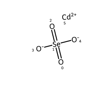 O=[Se](=O)([O-])[O-].[Cd+2]